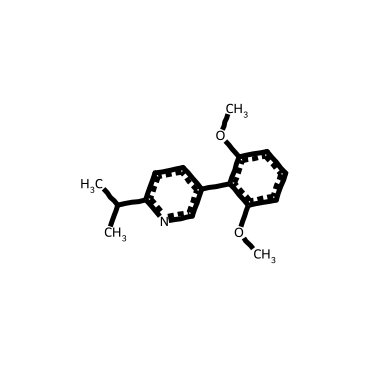 COc1cccc(OC)c1-c1ccc(C(C)C)nc1